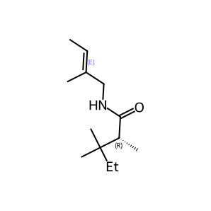 C/C=C(\C)CNC(=O)[C@H](C)C(C)(C)CC